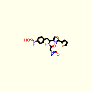 CN(C=O)CC(=O)NC(Cc1ccc(NSO)cc1)c1csc(-c2cccs2)n1